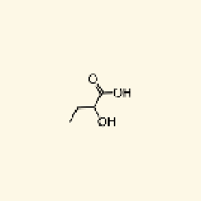 CCC(O)C(=O)O